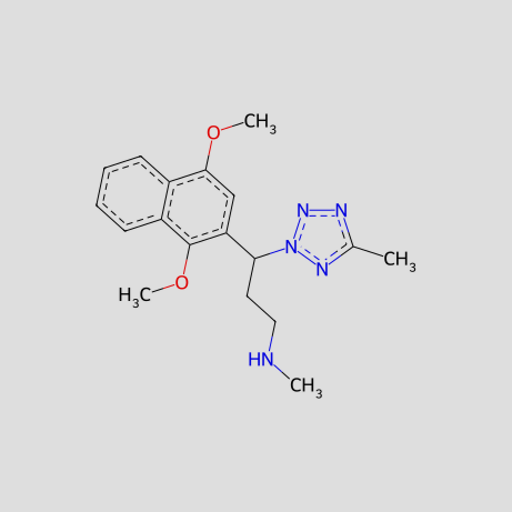 CNCCC(c1cc(OC)c2ccccc2c1OC)n1nnc(C)n1